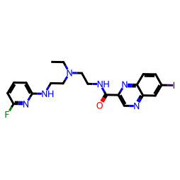 CCN(CCNC(=O)c1cnc2cc(I)ccc2n1)CCNc1cccc(F)n1